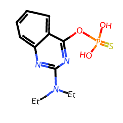 CCN(CC)c1nc(OP(O)(O)=S)c2ccccc2n1